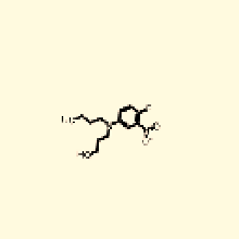 O=[N+]([O-])c1cc(N(CCCO)CCCO)ccc1F